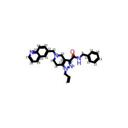 C=CCn1nc(C(=O)NCc2ccccc2)c2c1CCN(Cc1ccc3ncccc3c1)C2